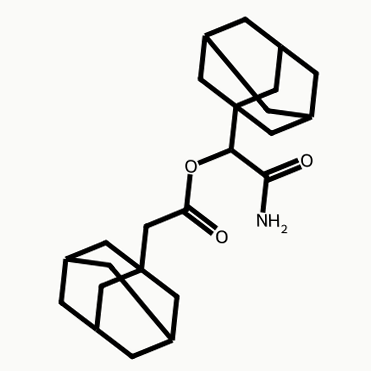 NC(=O)C(OC(=O)CC12CC3CC(CC(C3)C1)C2)C12CC3CC(CC(C3)C1)C2